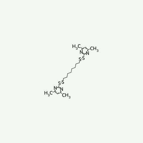 Cc1cc(C)nc(SSCCCCCCCCSSc2nc(C)cc(C)n2)n1